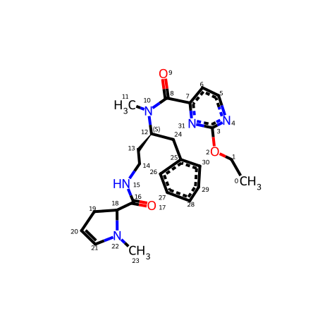 CCOc1nccc(C(=O)N(C)[C@H](CCNC(=O)C2CC=CN2C)Cc2ccccc2)n1